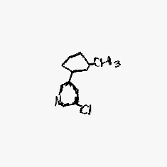 CC1C=C(c2cncc(Cl)c2)CCC1